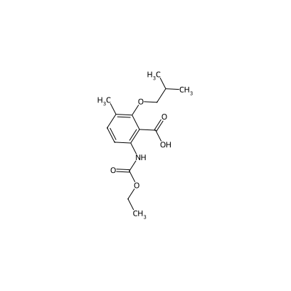 CCOC(=O)Nc1ccc(C)c(OCC(C)C)c1C(=O)O